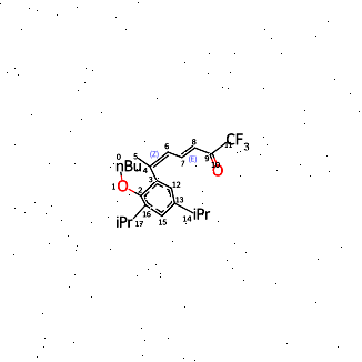 CCCCOc1c(/C(C)=C\C=C\C(=O)C(F)(F)F)cc(C(C)C)cc1C(C)C